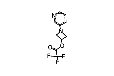 O=C(OC1CN(c2cccnc2)C1)C(F)(F)F